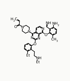 C=CC(=O)N1CCN(c2nc(Oc3cccc(CC)c3CCNCC)nc3c(Oc4c(C)ccc(N)c4C=N)nccc23)CC1